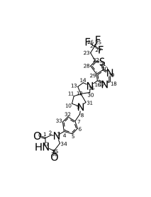 O=C1CN(c2ccc(CN3CCC4(CCN(c5ncnc6sc(CC(F)(F)F)cc56)C4)C3)cc2)CC(=O)N1